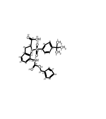 CC(C)(C)c1ccc(S(=O)(=O)N2c3c(cccc3NC(=O)OCc3ccccc3)CC2C(=O)O)cc1